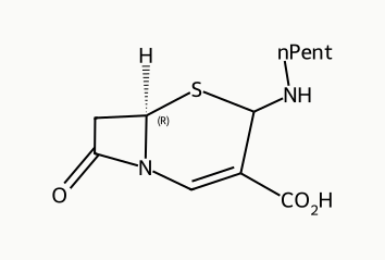 CCCCCNC1S[C@@H]2CC(=O)N2C=C1C(=O)O